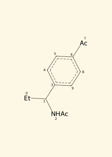 CCC(NC(C)=O)c1ccc(C(C)=O)cc1